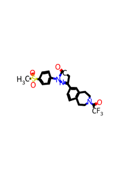 CS(=O)(=O)c1ccc(N2N=C(c3ccc4c(c3)CCN(C(=O)C(F)(F)F)CC4)CCC2=O)cc1